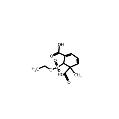 CCOS(=O)(=O)C1C(C(=O)O)=CC=CC1(C)C(=O)O